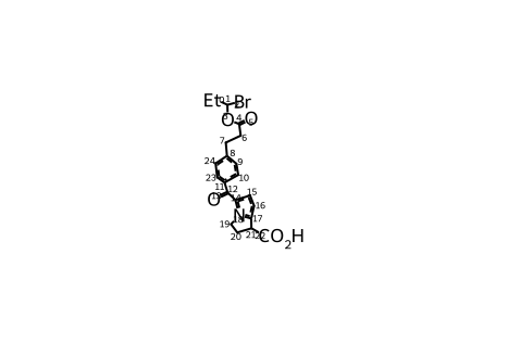 CCC(Br)OC(=O)CCc1ccc(C(=O)c2ccc3n2CCC3C(=O)O)cc1